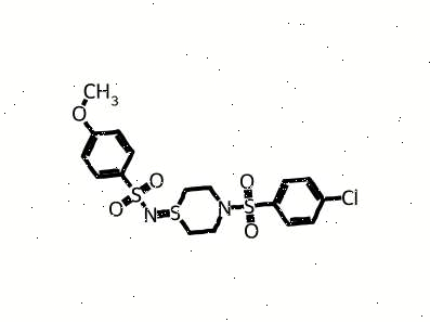 COc1ccc(S(=O)(=O)N=S2CCN(S(=O)(=O)c3ccc(Cl)cc3)CC2)cc1